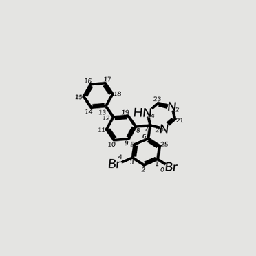 Brc1cc(Br)cc(C2(c3cccc(-c4ccccc4)c3)N=CN=CN2)c1